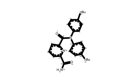 CCCCc1ccc(N(C(=O)c2cccc(C(N)=O)n2)c2ccc(CCCC)cc2)cc1